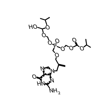 C=C(COCP(=O)(OCOC(=O)OC(C)C)OCOC(O)OC(C)C)Cn1cnc2c(=O)[nH]c(N)nc21